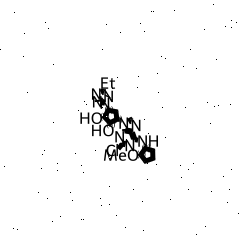 CCc1nnn([C@H]2C[C@@H](n3cnc4c(N[C@H]5CCC[C@@H]5OC)nc(Cl)nc43)[C@H](O)[C@@H]2O)n1